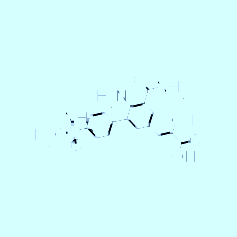 C=S(N)(=O)c1ccc(-c2cc(/C=C(\C)C(=O)O)cc(C(N)=O)c2N)cc1